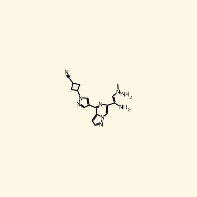 CN(N)/C=C(\N)c1cn2nccc2c(-c2cnn(C3CC(C#N)C3)c2)n1